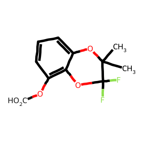 CC1(C)Oc2cccc(OC(=O)O)c2OC1(F)F